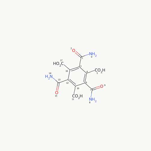 NC(=O)c1c(C(=O)O)c(C(N)=O)c(C(=O)O)c(C(N)=O)c1C(=O)O